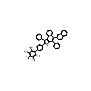 [2H]c1c([2H])c([2H])c(-c2ccc(-c3sc4c(-c5ccccc5)c(-c5ccc6ccccc6c5)c5ccccc5c4c3-c3ccccc3)cc2)c([2H])c1[2H]